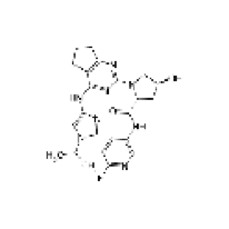 CC(C)n1cnc(Nc2nc(N3C[C@@H](O)C[C@@H]3C(=O)Nc3ccc(F)nc3)nc3c2CCC3)c1